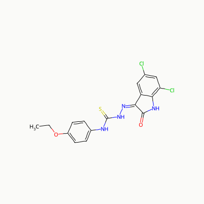 CCOc1ccc(NC(=S)N/N=C2\C(=O)Nc3c(Cl)cc(Cl)cc32)cc1